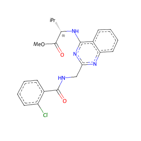 COC(=O)[C@@H](Nc1nc(CNC(=O)c2ccccc2Cl)nc2ccccc12)C(C)C